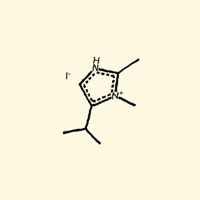 Cc1[nH]cc(C(C)C)[n+]1C.[I-]